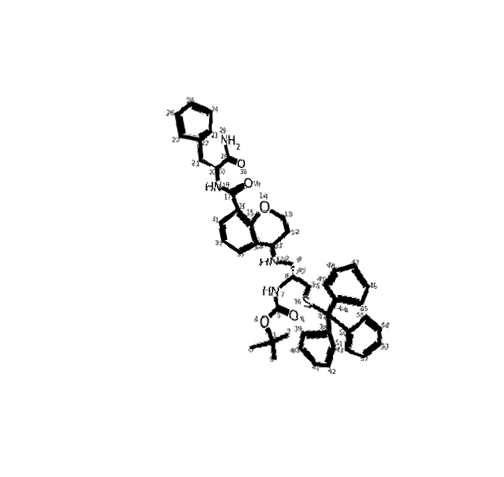 CC(C)(C)OC(=O)N[C@H](CNC1CCOc2c(C(=O)N[C@@H](Cc3ccccc3)C(N)=O)cccc21)CSC(c1ccccc1)(c1ccccc1)c1ccccc1